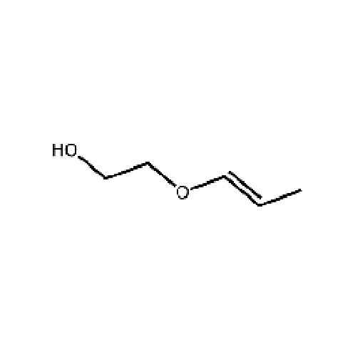 CC=COCCO